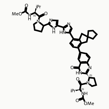 COC(=O)N[C@H](C(=O)N1CCCC1c1ncc(-c2ncc(-c3ccc(-c4ccc5nc([C@@H]6CCCN6C(=O)[C@@H](NC(=O)OC)C(C)C)[nH]c(=O)c5c4)c4c3CC3(CCCC3)C4)[nH]2)[nH]1)C(C)C